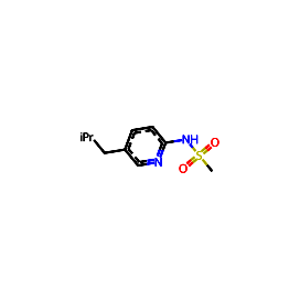 CC(C)Cc1ccc(NS(C)(=O)=O)nc1